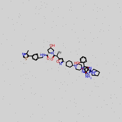 Cc1ncsc1-c1ccc(CNC(=O)[C@@H]2C[C@@H](O)CN2C(=O)C(c2cc([C@H]3CC[C@H](N4CCC(c5cnc(N6C7CCC6CN(c6cc(-c8ccccc8O)nnc6N)C7)nc5)CC4)CC3)no2)C(C)C)cc1